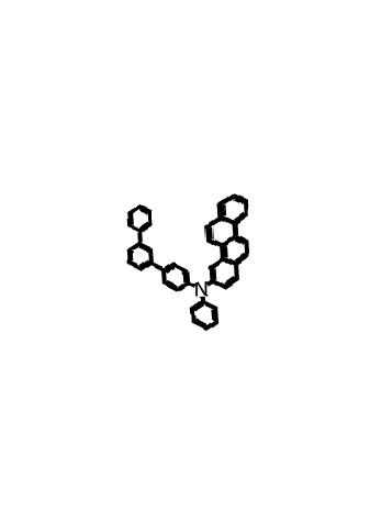 c1ccc(-c2cccc(-c3ccc(N(c4ccccc4)c4ccc5ccc6c7ccccc7ccc6c5c4)cc3)c2)cc1